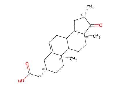 C[C@H]1CC2C3CC=C4C[C@@H](CC(=O)O)CC[C@]4(C)C3CC[C@]2(C)C1=O